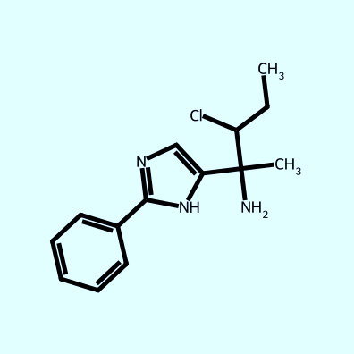 CCC(Cl)C(C)(N)c1cnc(-c2ccccc2)[nH]1